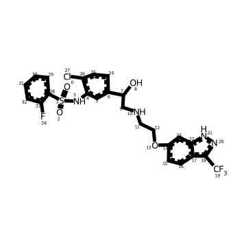 O=S(=O)(Nc1cc(C(O)CNCCOc2ccc3c(C(F)(F)F)n[nH]c3c2)ccc1Cl)c1ccccc1F